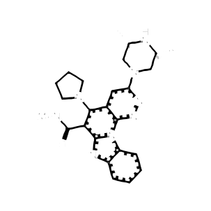 CNC(=O)c1c(N2CCCC2)c2cc(N3C[C@@H](C)N[C@@H](C)C3)nnc2n2c1nc1ccccc12